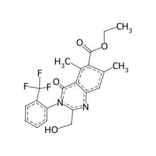 CCOC(=O)c1c(C)cc2nc(CO)n(-c3ccccc3C(F)(F)F)c(=O)c2c1C